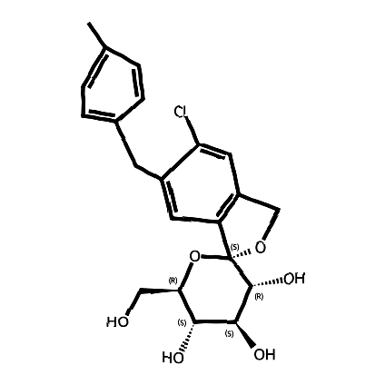 Cc1ccc(Cc2cc3c(cc2Cl)CO[C@]32O[C@H](CO)[C@@H](O)[C@H](O)[C@H]2O)cc1